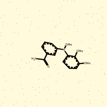 COc1cccc(N(OC)c2cccc(C(N)=O)c2)c1OC